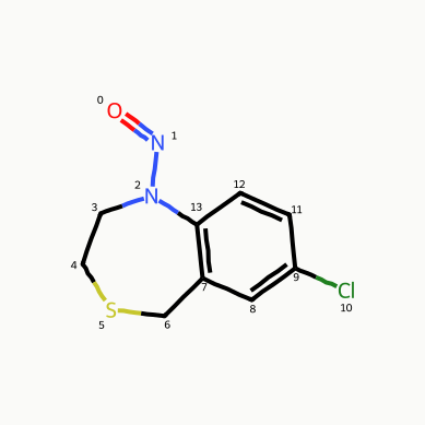 O=NN1CCSCc2cc(Cl)ccc21